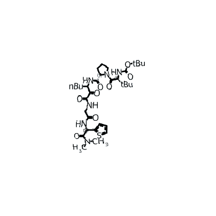 CCCCC(NC(=O)[C@@H]1CCCN1C(=O)[C@@H](NC(=O)OC(C)(C)C)C(C)(C)C)C(=O)C(=O)NCC(=O)N[C@H](C(=O)N(C)C)c1cccs1